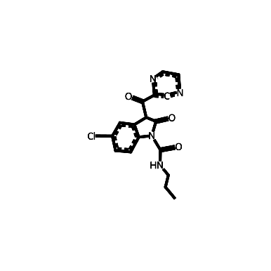 CCCNC(=O)N1C(=O)C(C(=O)c2cnccn2)c2cc(Cl)ccc21